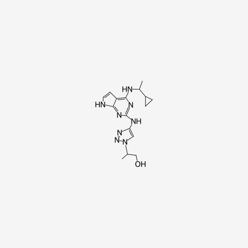 CC(Nc1nc(Nc2cn(C(C)CO)nn2)nc2[nH]ccc12)C1CC1